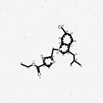 CCOC(=O)c1csc(Cn2cc(CC(C)C)c3ccc(Cl)cc32)n1